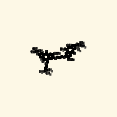 COc1cc2c(cc1OCCCOc1cc3c(cc1OC)C(=O)N1CC(O[Si](C)(C)C(C)(C)C)C[C@H]1C(=O)N3COCC[Si](C)(C)C)N(C)C(=O)[C@@H]1CC(O[Si](C)(C)C(C)(C)C)CN1C2=O